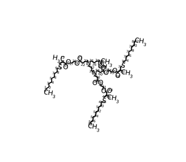 CCCCCCCCCCSCC(C)C(=O)OCCOC(=O)CCN(CCCN(C)C)CCCN(CCC(=O)OCCOC(=O)C(C)CSCCCCCCCCCC)CCC(=O)OCCOC(=O)C(C)CSCCCCCCCCCC